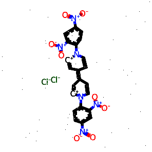 O=[N+]([O-])c1ccc(N2[C+]=CC(=C3C=[C+]N(c4ccc([N+](=O)[O-])cc4[N+](=O)[O-])C=C3)C=C2)c([N+](=O)[O-])c1.[Cl-].[Cl-]